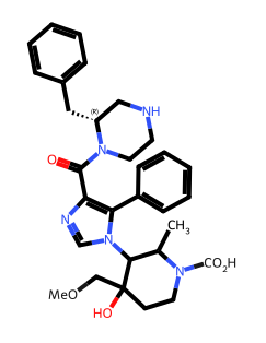 COCC1(O)CCN(C(=O)O)C(C)C1n1cnc(C(=O)N2CCNC[C@H]2Cc2ccccc2)c1-c1ccccc1